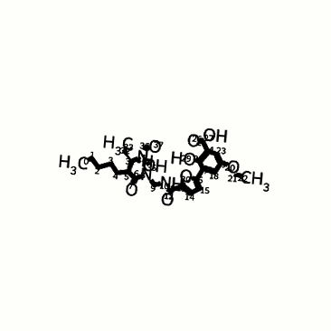 CCCCCC(C(=O)NCNC(=O)c1ccc(-c2cc(OCC)cc(C(=O)O)c2O)o1)[C@@H](CC)N(O)C=O